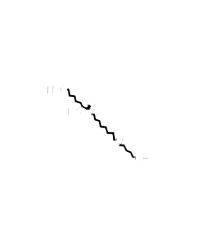 CCCCCCOCCCCCCCCOC(=O)C(S)CCCCCC